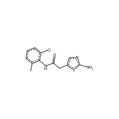 Cc1cccc(Cl)c1NC(=O)Cc1cnc(N)s1